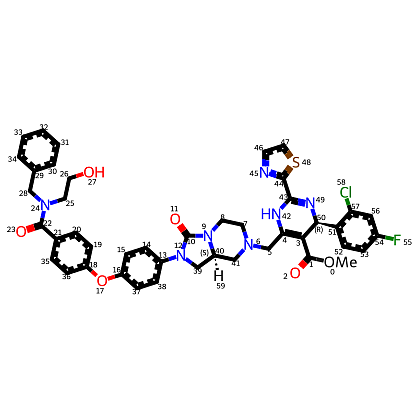 COC(=O)C1=C(CN2CCN3C(=O)N(c4ccc(Oc5ccc(C(=O)N(CCO)Cc6ccccc6)cc5)cc4)C[C@@H]3C2)NC(c2nccs2)=N[C@H]1c1ccc(F)cc1Cl